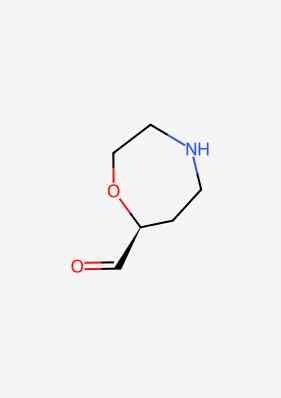 O=C[C@@H]1CCNCCO1